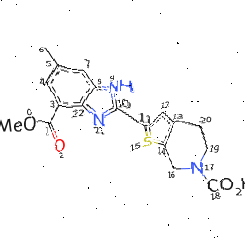 COC(=O)c1cc(C)cc2[nH]c(-c3cc4c(s3)CN(C(=O)O)CC4)nc12